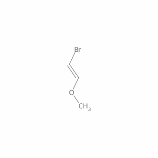 COC=CBr